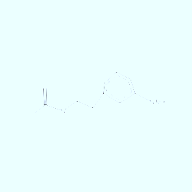 CCC(=O)NCCc1cccc(NC)c1